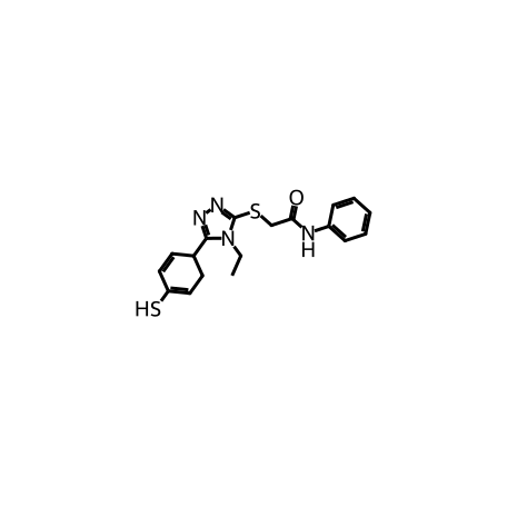 CCn1c(SCC(=O)Nc2ccccc2)nnc1C1C=CC(S)=CC1